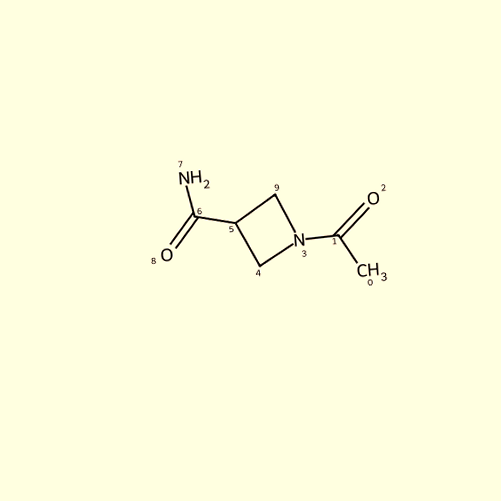 CC(=O)N1CC(C(N)=O)C1